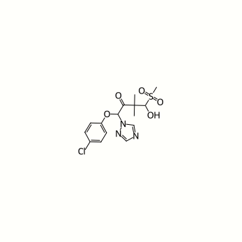 CC(C)(C(=O)C(Oc1ccc(Cl)cc1)n1cncn1)C(O)S(C)(=O)=O